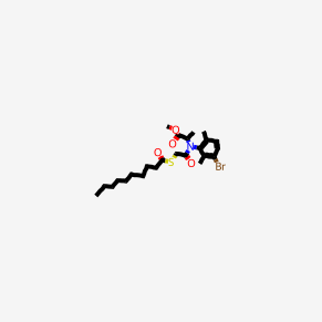 CCCCCCCCCC(=O)SCC(=O)N(c1c(C)ccc(Br)c1C)C(C)C(=O)OC